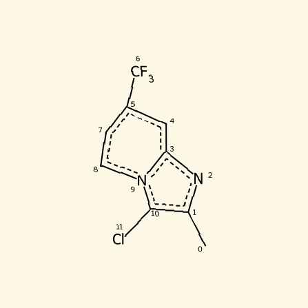 Cc1nc2cc(C(F)(F)F)ccn2c1Cl